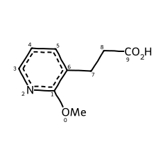 COc1ncccc1CCC(=O)O